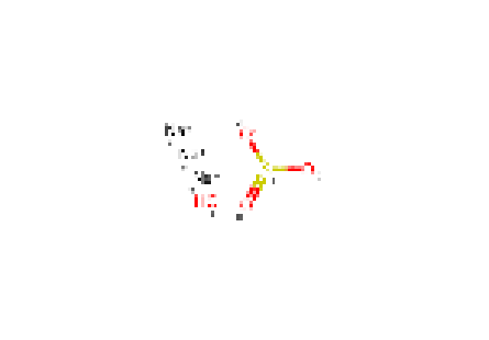 O=S([O-])[O-].[Na+].[Na+].[Na+].[OH-]